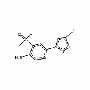 CP(C)(=O)c1cc(-n2cc(F)cn2)ccc1N